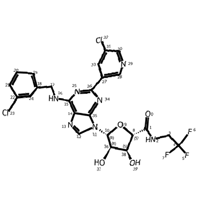 O=C(NCC(F)(F)F)[C@H]1O[C@@H](n2cnc3c(NCc4cccc(Cl)c4)nc(-c4cncc(Cl)c4)nc32)[C@H](O)[C@@H]1O